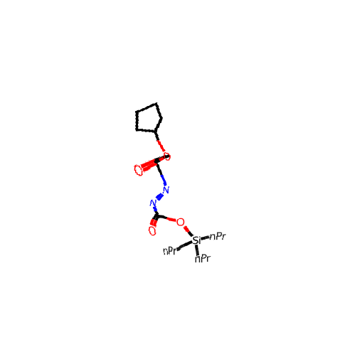 CCC[Si](CCC)(CCC)OC(=O)N=NC(=O)OC1CCCC1